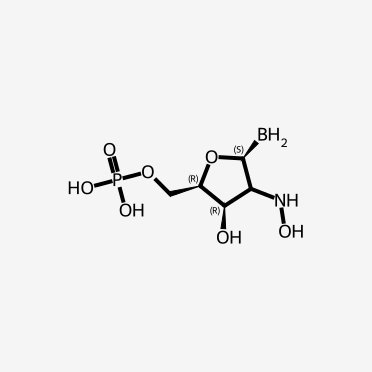 B[C@@H]1O[C@H](COP(=O)(O)O)[C@H](O)C1NO